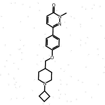 Cn1nc(-c2ccc(OCC3CCN(C4CCC4)CC3)cc2)ccc1=O